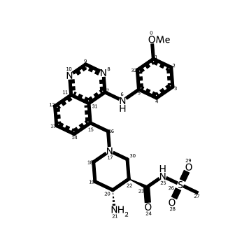 COc1cccc(Nc2ncnc3cccc(CN4CC[C@@H](N)[C@H](C(=O)NS(C)(=O)=O)C4)c23)c1